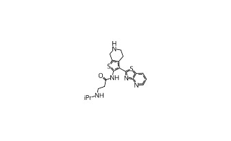 CC(C)NCCC(=O)Nc1sc2c(c1-c1nc3ncccc3s1)CCNC2